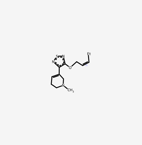 CC/C=C\COc1nsnc1C1=CCCN(C)C1